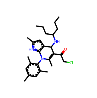 CCCC(CCC)NC1C(C(=O)CCl)=C(C)N(c2c(C)cc(C)cc2C)c2[nH]c(C)cc21